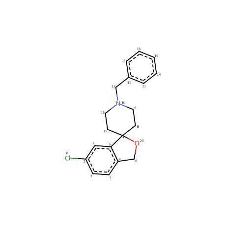 Clc1ccc2c(c1)C1(CCN(Cc3ccccc3)CC1)OC2